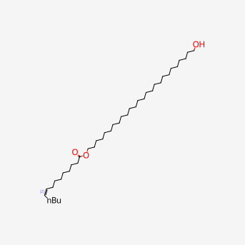 CCCC/C=C\CCCCCCCC(=O)OCCCCCCCCCCCCCCCCCCCCCCCCCCO